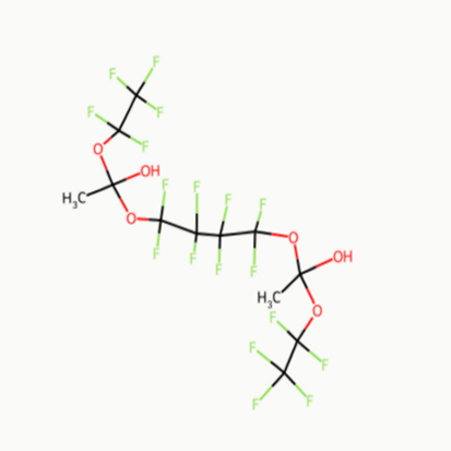 CC(O)(OC(F)(F)C(F)(F)F)OC(F)(F)C(F)(F)C(F)(F)C(F)(F)OC(C)(O)OC(F)(F)C(F)(F)F